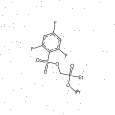 CCP(=O)(COS(=O)(=O)c1c(F)cc(F)cc1F)OC(C)C